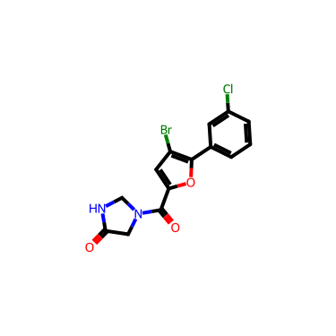 O=C1CN(C(=O)c2cc(Br)c(-c3cccc(Cl)c3)o2)CN1